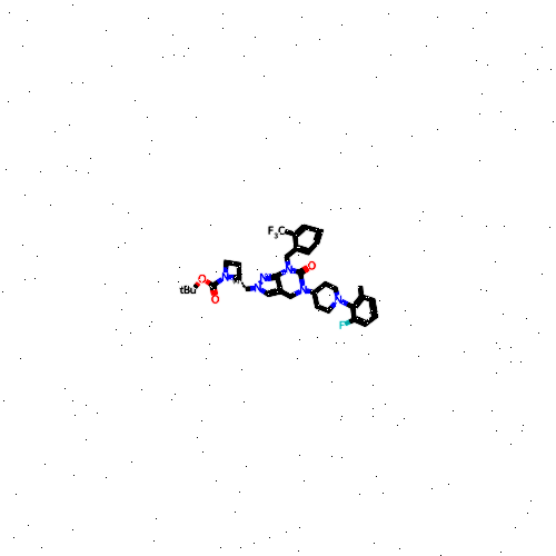 Cc1cccc(F)c1N1CCC(N2Cc3cn(C[C@H]4CCN4C(=O)OC(C)(C)C)nc3N(Cc3ccccc3C(F)(F)F)C2=O)CC1